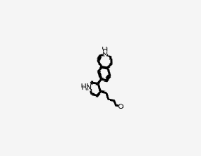 O=CCCCC1CCNCC1C1=CC2C=CNCCC2C=C1